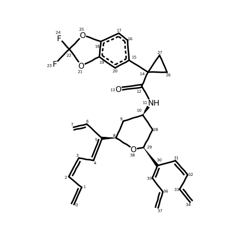 C=C/C=C\C=C(/C=C)[C@H]1C[C@@H](NC(=O)C2(c3ccc4c(c3)OC(F)(F)O4)CC2)C[C@@H](C(/C=C\C=C)=C/C=C)O1